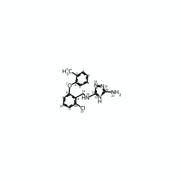 Cc1ccccc1Oc1cccc(Cl)c1CNc1nnc(N)[nH]1